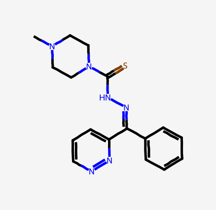 CN1CCN(C(=S)N/N=C(/c2ccccc2)c2cccnn2)CC1